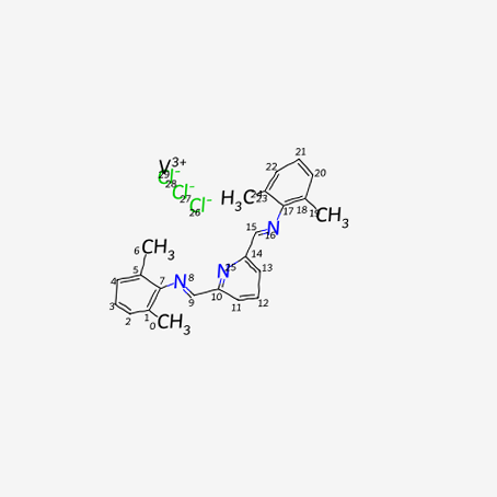 Cc1cccc(C)c1N=Cc1cccc(C=Nc2c(C)cccc2C)n1.[Cl-].[Cl-].[Cl-].[V+3]